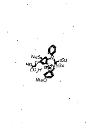 CCCCC1(CCCC)CN(c2ccccc2)c2cc(SC)c(OCC(O)C(=O)O)cc2S(=O)(=O)N1Cc1ccc(OC)cc1